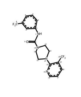 O=C(Nc1cccc(C(F)(F)F)c1)N1CCN(c2ncccc2C(F)(F)F)CC1